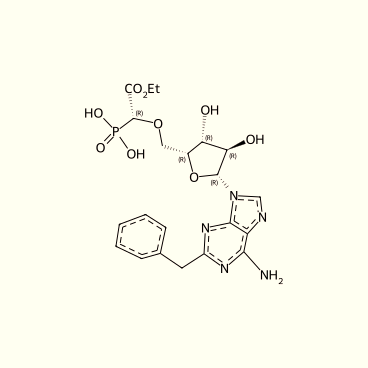 CCOC(=O)[C@H](OC[C@H]1O[C@@H](n2cnc3c(N)nc(Cc4ccccc4)nc32)[C@H](O)[C@H]1O)P(=O)(O)O